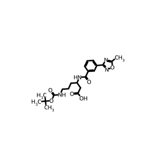 Cc1nc(-c2cccc(C(=O)NC(CCCNC(=O)OC(C)(C)C)CC(=O)O)c2)no1